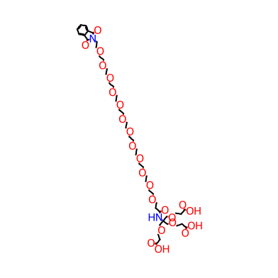 O=C(O)CCOCC(COCCC(=O)O)(COCCC(=O)O)NC(=O)CCOCCOCCOCCOCCOCCOCCOCCOCCOCCOCCOCCOCCN1C(=O)c2ccccc2C1=O